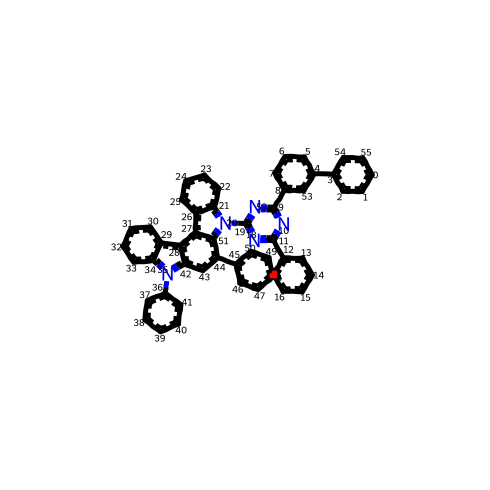 c1ccc(-c2cccc(-c3nc(-c4ccccc4)nc(-n4c5ccccc5c5c6c7ccccc7n(-c7ccccc7)c6cc(-c6ccccc6)c54)n3)c2)cc1